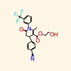 CC1=C(C(=O)OCCO)C(c2ccc(C#N)cc2)CC(=O)N1c1cccc(C(F)(F)F)c1